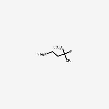 CCCCCCCCCC(F)(C(=O)OCC)C(F)(F)F